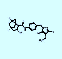 CCc1nn(Cc2ccc(NC(=O)C3[C@@H](C)C[C@H]4C[C@@H]5CC35C4)cc2)c(CC)c1CC(=O)O